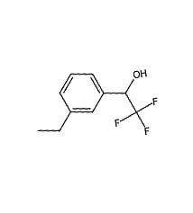 CCc1cccc(C(O)C(F)(F)F)c1